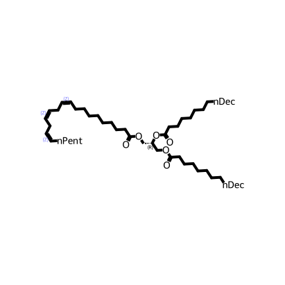 CCCCC/C=C\C/C=C\C/C=C\CCCCCCCCC(=O)OC[C@@H](COC(=O)CCCCCCCCCCCCCCCCC)OC(=O)CCCCCCCCCCCCCCCCC